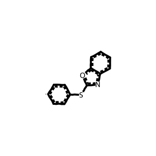 [c]1ccc(Sc2nc3ccccc3o2)cc1